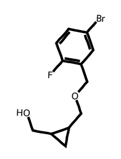 OCC1CC1COCc1cc(Br)ccc1F